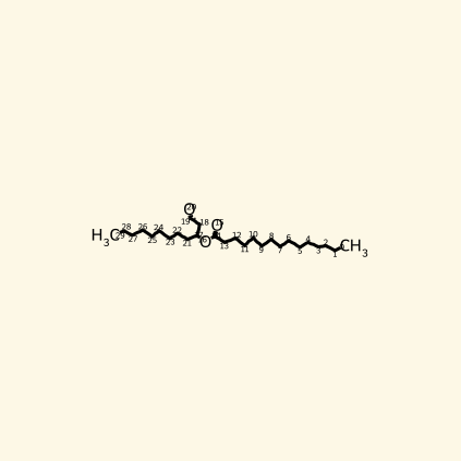 CCCCCCCCCCCCCCC(=O)OC(C[C]=O)CCCCCCCCC